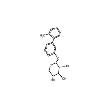 Cc1ccncc1-c1cncc(O[C@@H]2SC[C@@H](O)[C@H](O)[C@H]2O)c1